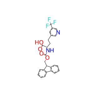 O=C(NC(CCc1cncc(C(F)(F)F)c1)C(=O)O)OCC1c2ccccc2-c2ccccc21